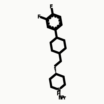 CCC[Si@H]1CC[C@H](CCC2CCC(c3ccc(F)c(F)c3)CC2)CC1